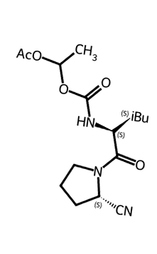 CC[C@H](C)[C@H](NC(=O)OC(C)OC(C)=O)C(=O)N1CCC[C@H]1C#N